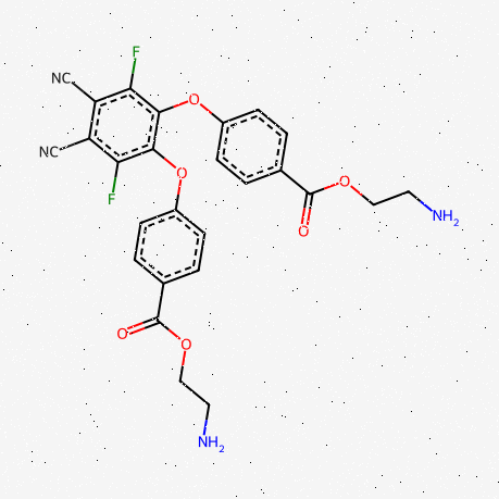 N#Cc1c(F)c(Oc2ccc(C(=O)OCCN)cc2)c(Oc2ccc(C(=O)OCCN)cc2)c(F)c1C#N